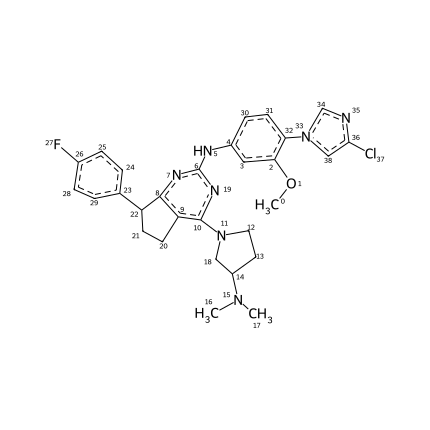 COc1cc(Nc2nc3c(c(N4CCC(N(C)C)C4)n2)CCC3c2ccc(F)cc2)ccc1-n1cnc(Cl)c1